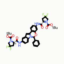 CC(C)(C)OC(=O)N1CC(F)(F)C[C@H]1C(=O)Nc1ccc2c(c1)OC(c1ccccc1)n1c-2cc2cc(NC(=O)[C@@H]3CC(F)(F)CN3C(=O)OC(C)(C)C)ccc21